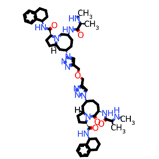 CN[C@@H](C)C(=O)N[C@H]1CC[C@H](n2cc(COCc3cn([C@H]4CC[C@H](NC(=O)[C@H](C)NC)C(=O)N5[C@H](CC[C@H]5C(=O)N[C@H]5CCCc6ccccc65)C4)nn3)nn2)C[C@H]2CC[C@@H](C(=O)N[C@@H]3CCCc4ccccc43)N2C1